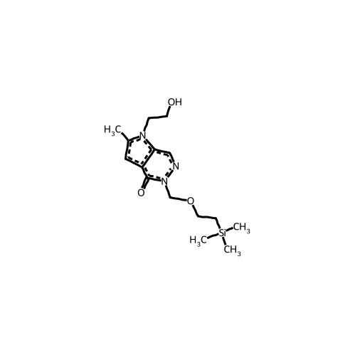 Cc1cc2c(=O)n(COCC[Si](C)(C)C)ncc2n1CCO